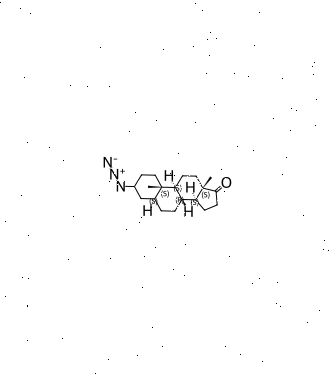 C[C@]12CCC(N=[N+]=[N-])C[C@@H]1CC[C@@H]1[C@@H]2CC[C@]2(C)C(=O)CC[C@@H]12